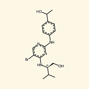 CC(O)c1ccc(Nc2ncc(Br)c(N[C@@H](CO)C(C)C)n2)cc1